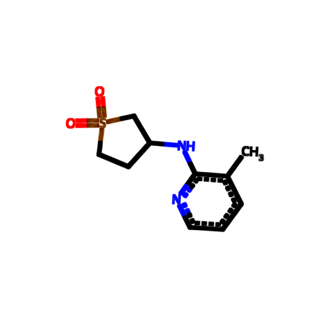 Cc1cccnc1NC1CCS(=O)(=O)C1